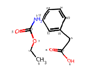 CCOC(N)=O.O=C(O)Cc1ccccc1